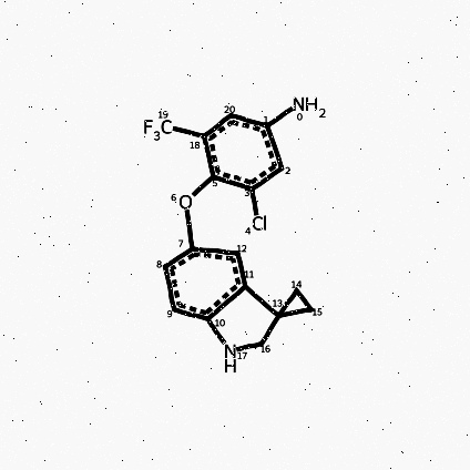 Nc1cc(Cl)c(Oc2ccc3c(c2)C2(CC2)CN3)c(C(F)(F)F)c1